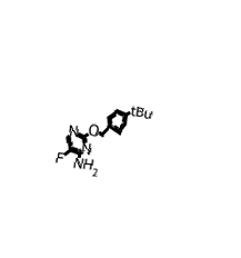 CC(C)(C)c1ccc(COc2ncc(F)c(N)n2)cc1